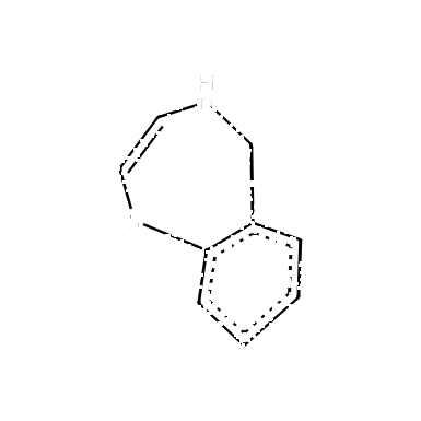 C1=CSc2ccccc2CN1